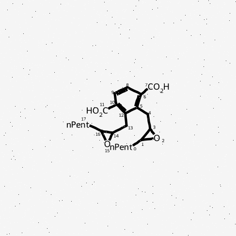 CCCCCC1OC1Cc1c(C(=O)O)ccc(C(=O)O)c1CC1OC1CCCCC